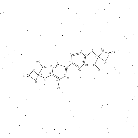 CCC1(Cc2ccc(-c3ccc(CC4(CC)COC4)c(C)c3)cc2)COC1